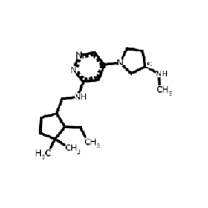 CCC1C(CNc2cc(N3CC[C@@H](NC)C3)cnn2)CCC1(C)C